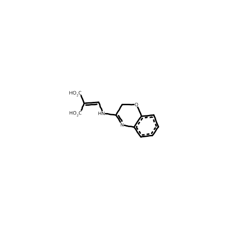 O=C(O)C(=CNC1=Nc2ccccc2OC1)C(=O)O